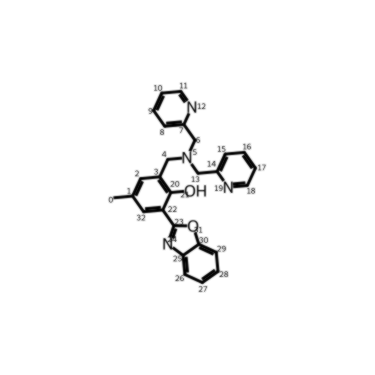 Cc1cc(CN(Cc2ccccn2)Cc2ccccn2)c(O)c(-c2nc3ccccc3o2)c1